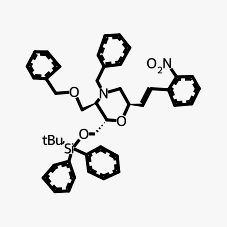 CC(C)(C)[Si](OC[C@H]1O[C@H](/C=C/c2ccccc2[N+](=O)[O-])CN(Cc2ccccc2)[C@@H]1COCc1ccccc1)(c1ccccc1)c1ccccc1